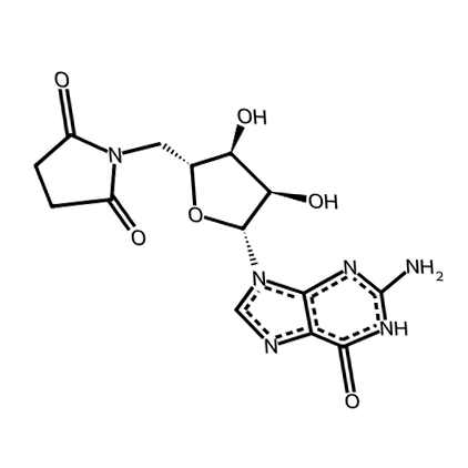 Nc1nc2c(ncn2[C@@H]2O[C@H](CN3C(=O)CCC3=O)[C@@H](O)[C@H]2O)c(=O)[nH]1